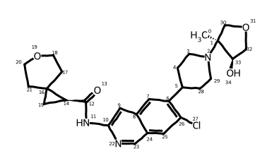 C[C@]1(N2CCC(c3cc4cc(NC(=O)[C@H]5CC56CCOCC6)ncc4cc3Cl)CC2)COC[C@H]1O